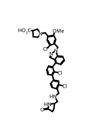 COc1cc(Cn2ncc3c(-c4cccc(-c5ccc(CNCC6CCC(=O)N6)c(Cl)c5)c4Cl)cccc32)c(Cl)cc1CN1CCC(C(=O)O)C1